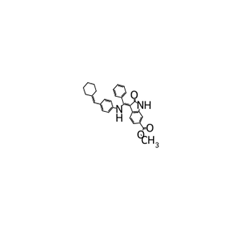 COC(=O)c1ccc2c(c1)NC(=O)C2=C(Nc1ccc(C=C2CCCCC2)cc1)c1ccccc1